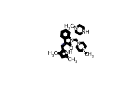 CN1CCNCC1.Cc1cc(C)c(/C=C2\C(=O)N(CN3CCN(C)CC3)c3ccccc32)[nH]1